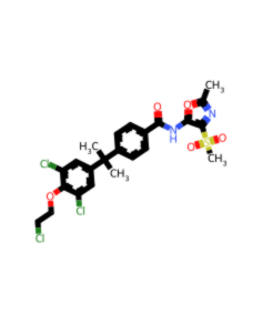 Cc1nc(S(C)(=O)=O)c(NC(=O)c2ccc(C(C)(C)c3cc(Cl)c(OCCCl)c(Cl)c3)cc2)o1